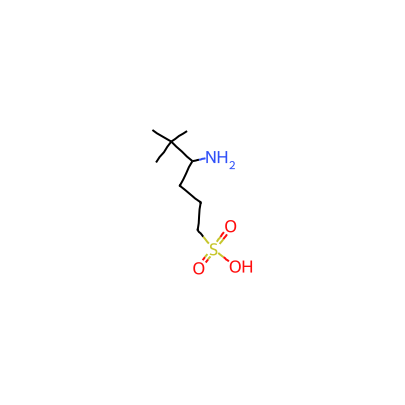 CC(C)(C)C(N)CCCS(=O)(=O)O